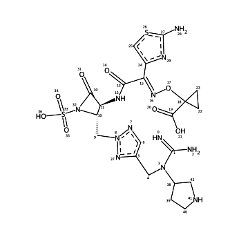 N=C(N)N(Cc1cnn(C[C@H]2[C@H](NC(=O)C(=NOC3(C(=O)O)CC3)c3csc(N)n3)C(=O)N2S(=O)(=O)O)n1)C1CCNC1